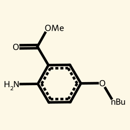 CCCCOc1ccc(N)c(C(=O)OC)c1